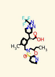 CCC1CN(Cc2cc([C@H](CC(=O)O)c3ccn4c(C(F)(F)F)nnc4c3)ccc2C)[S+]([O-])c2cccnc2O1